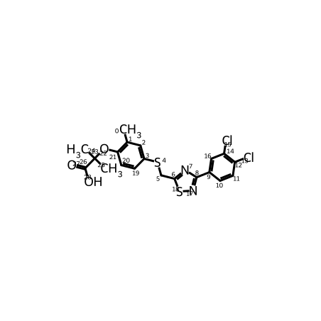 Cc1cc(SCc2nc(-c3ccc(Cl)c(Cl)c3)ns2)ccc1OC(C)(C)C(=O)O